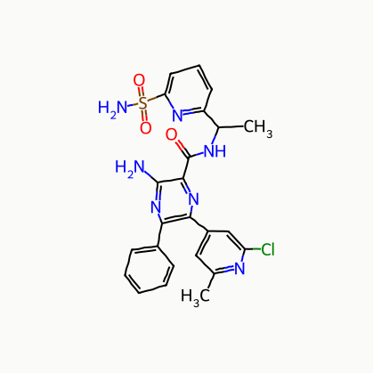 Cc1cc(-c2nc(C(=O)NC(C)c3cccc(S(N)(=O)=O)n3)c(N)nc2-c2ccccc2)cc(Cl)n1